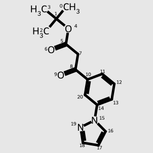 CC(C)(C)OC(=O)CC(=O)c1cccc(-n2cccn2)c1